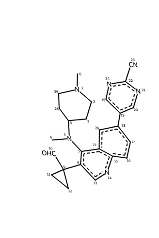 CN1CCC(N(C)c2c(C3(C=O)CC3)cnc3ccc(-c4cnc(C#N)nc4)cc23)CC1